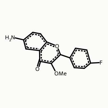 COc1c(-c2ccc(F)cc2)oc2ccc(N)cc2c1=O